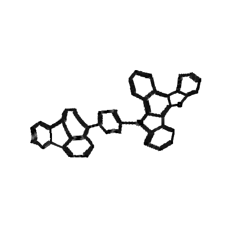 c1ccc2c(c1)-c1cccc3c(-c4ccc(-n5c6ccccc6c6c7oc8ccccc8c7c7ccccc7c65)cc4)ccc-2c13